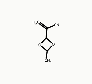 C=C(C#N)C1OC(C)O1